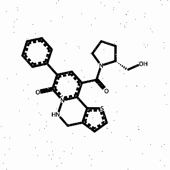 O=C(c1cc(-c2ccccc2)c(=O)n2c1-c1sccc1CN2)N1CCC[C@@H]1CO